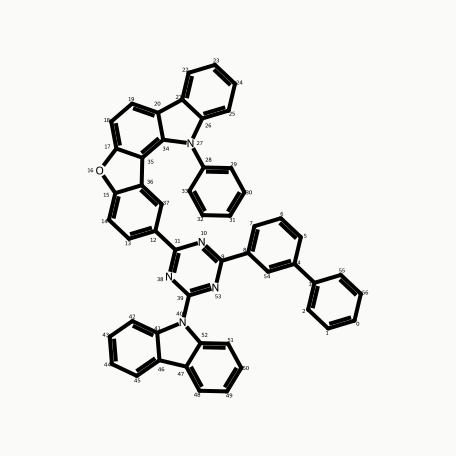 c1ccc(-c2cccc(-c3nc(-c4ccc5oc6ccc7c8ccccc8n(-c8ccccc8)c7c6c5c4)nc(-n4c5ccccc5c5ccccc54)n3)c2)cc1